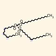 CCCCC/C=C\C/C=C\C/C=C\CCCCC(=O)O[C@@H](COC(=O)CCCCCCC/C=C\CCCCCCCCC)COC(=O)CCCCCCCCCCCCCCCC